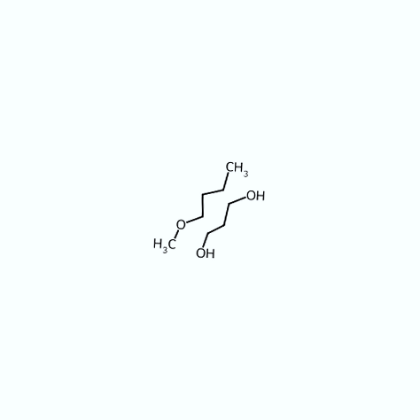 CCCCOC.OCCCO